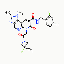 Cc1nc2cnc3c(cc(C(=O)NCc4ccc(Cl)cc4F)c(=O)n3CC(=O)N3CC(C)(F)C3)c2n1C